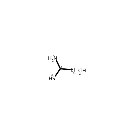 CCC(N)S.Cl